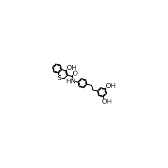 O=C(Nc1ccc(CCc2cc(O)cc(O)c2)cc1)C1=C(O)c2ccccc2SC1